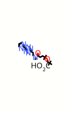 CN(CCc1nnc(-c2ncccn2)nn1)C(=O)CCC(C)(C)OCC(C)(C)C(=O)O